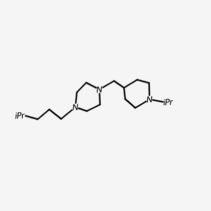 CC(C)CCCN1CCN(CC2CCN(C(C)C)CC2)CC1